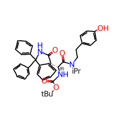 CC(C)N(CCc1ccc(O)cc1)C(=O)[C@@H](CC(=O)NC(c1ccccc1)(c1ccccc1)c1ccccc1)NC(=O)OC(C)(C)C